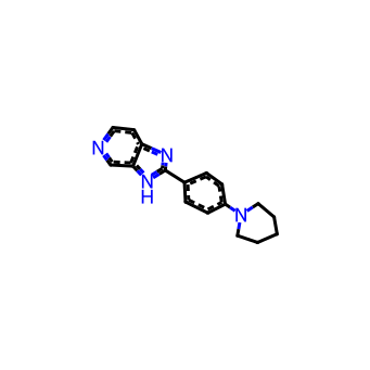 c1cc2nc(-c3ccc(N4CCCCC4)cc3)[nH]c2cn1